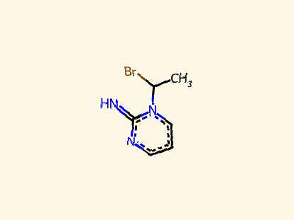 CC(Br)n1cccnc1=N